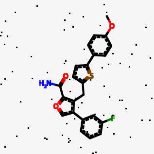 COc1ccc(-c2ccc(Cc3c(-c4cccc(F)c4)coc3C(N)=O)s2)cc1